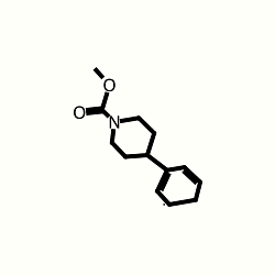 COC(=O)N1CCC(C2=C[CH]CC=C2)CC1